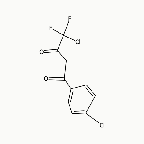 O=C(CC(=O)C(F)(F)Cl)c1ccc(Cl)cc1